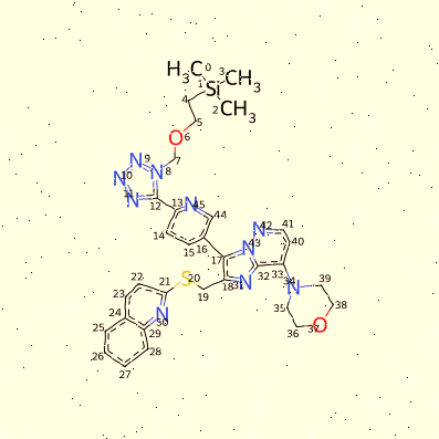 C[Si](C)(C)CCOCn1nnnc1-c1ccc(-c2c(CSc3ccc4ccccc4n3)nc3c(N4CCOCC4)ccnn23)cn1